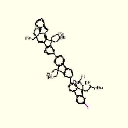 CCCCC(CC)CC1(CC(CC)CCCC)c2cc(I)ccc2-c2ccc(-c3ccc4c(c3)C(CC(C)CC)(CC(C)CC)c3cc(-c5ccc6c(c5)C(CC(C)CC)(CC(C)CC)C5=C7C=c8ccccc8=C7C(CC(C)CC)(CC(C)CC)C=C56)ccc3-4)cc21